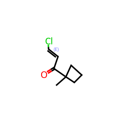 CC1(C(=O)/C=C/Cl)CCC1